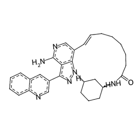 Nc1ncc2c3c1c(-c1cnc4ccccc4c1)nn3[C@@H]1CCC[C@H](C1)NC(=O)CCCCC/C=C/2